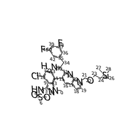 Cn1nc(NS(C)(=O)=O)c2c(Cl)ccc(-c3cc4ccn(COCC[Si](C)(C)C)c4nc3C(N)Cc3cc(F)cc(F)c3)c21